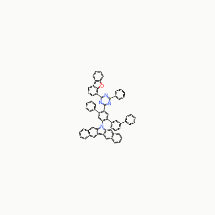 c1ccc(-c2cccc(-c3cc(-c4nc(-c5ccccc5)nc(-c5cccc6c5oc5ccccc56)n4)c(-c4ccccc4)cc3-n3c4cc5ccccc5cc4c4cc5ccccc5cc43)c2)cc1